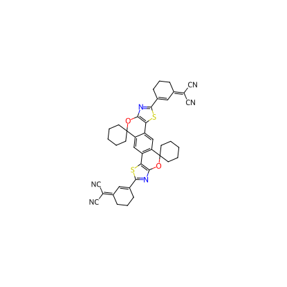 N#CC(C#N)=C1C=C(c2nc3c(s2)-c2cc4c(cc2C2(CCCCC2)O3)-c2sc(C3=CC(=C(C#N)C#N)CCC3)nc2OC42CCCCC2)CCC1